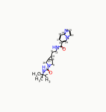 CC(C)(C)NC(=O)N1CC2C(CCNC(=O)c3ccc4nccn4c3)C2C1